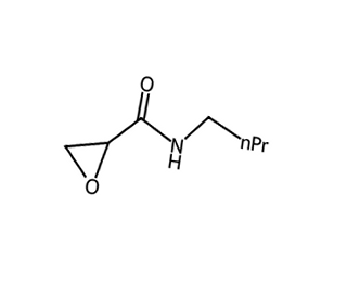 CCCCNC(=O)C1CO1